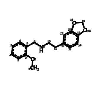 COc1ccccc1CNCCc1ccc2c(c1)OCO2